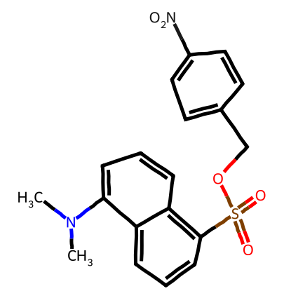 CN(C)c1cccc2c(S(=O)(=O)OCc3ccc([N+](=O)[O-])cc3)cccc12